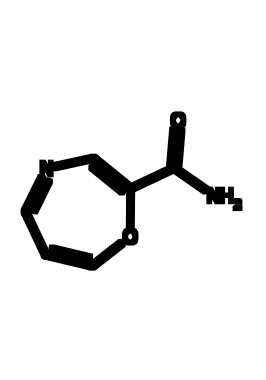 NC(=O)C1=CN=CC=CO1